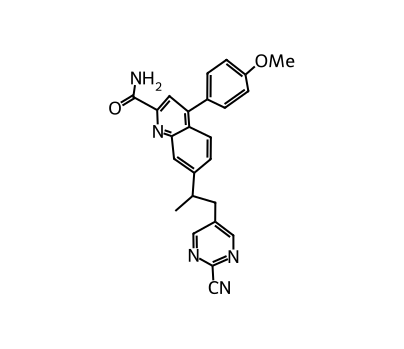 COc1ccc(-c2cc(C(N)=O)nc3cc(C(C)Cc4cnc(C#N)nc4)ccc23)cc1